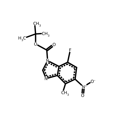 Cc1c([N+](=O)[O-])cc(F)c2c1ncn2C(=O)OC(C)(C)C